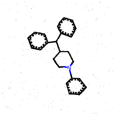 c1ccc(C(c2ccccc2)C2CCN(c3ccccc3)CC2)cc1